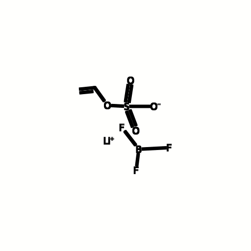 C=COS(=O)(=O)[O-].FB(F)F.[Li+]